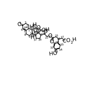 C[C@]12CCC(=O)C=C1CC[C@@H]1[C@@H]2[C@@H]2C[C@]3(C(O)O2)[C@@H](C(=O)COC(=O)CC(CC(=O)O)c2ccc(O)cc2)CC[C@@H]13